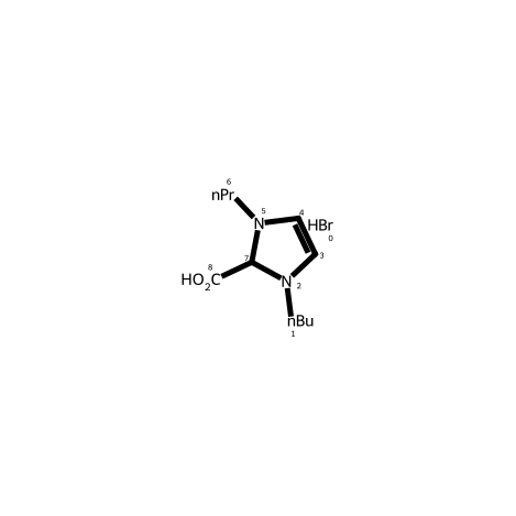 Br.CCCCN1C=CN(CCC)C1C(=O)O